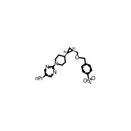 CCCc1cnc(N2CCC([C@H]3C[C@H]3COCc3ccc(S(C)(=O)=O)cc3)CC2)nc1